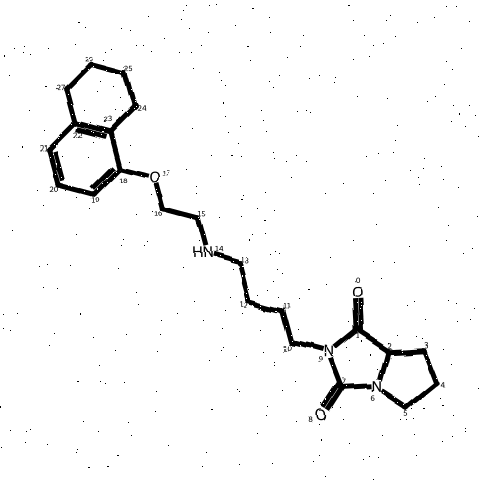 O=C1C2CCCN2C(=O)N1CCCCNCCOc1cccc2c1CCCC2